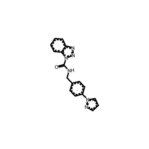 O=C(NCc1ccc(-n2cccn2)cc1)n1nnc2ccccc21